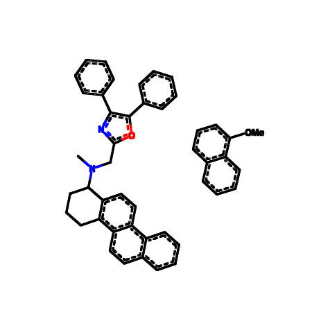 CN(Cc1nc(-c2ccccc2)c(-c2ccccc2)o1)C1CCCc2c1ccc1c2ccc2ccccc21.COc1cccc2ccccc12